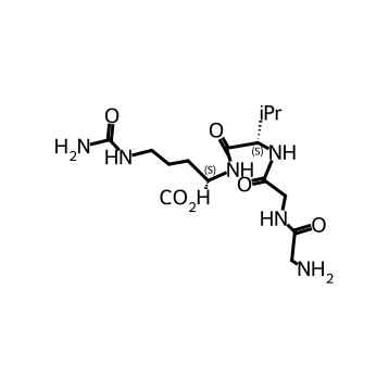 CC(C)[C@H](NC(=O)CNC(=O)CN)C(=O)N[C@@H](CCCNC(N)=O)C(=O)O